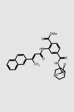 COC(=O)c1ccc(C(=O)N[C@H]2CN3CCC2CC3)cc1NC(=O)C=C(C)c1ccc2ccccc2c1